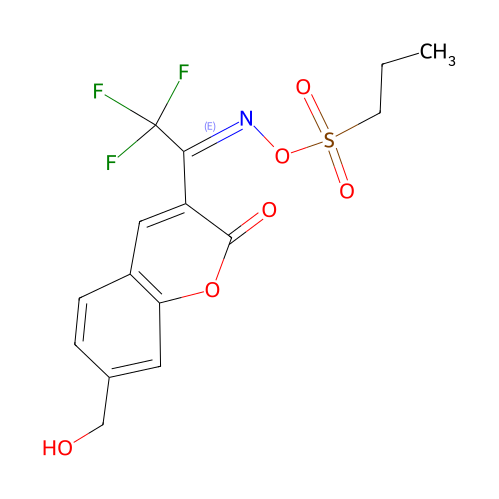 CCCS(=O)(=O)O/N=C(\c1cc2ccc(CO)cc2oc1=O)C(F)(F)F